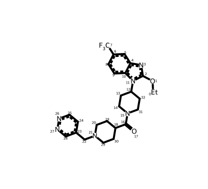 CCOc1nc2cc(C(F)(F)F)ccc2n1C1CCN(C(=O)C2CCN(Cc3ccnnc3)CC2)CC1